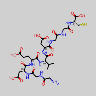 CC(C)[C@H](NC(=O)[C@H](CCC(=O)O)NC(=O)[C@H](CC(=O)O)NC(=O)CNC(=O)CN)C(=O)N[C@@H](CC(=O)O)C(=O)NCC(=O)NCC(=O)N[C@@H](CS)C(=O)O